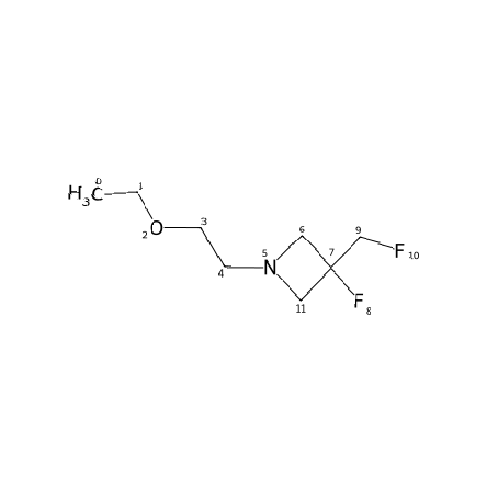 CCOCCN1CC(F)(CF)C1